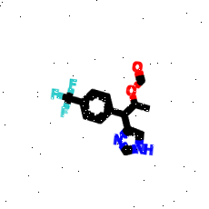 CC(OC=O)C(c1ccc(C(F)(F)F)cc1)c1c[nH]cn1